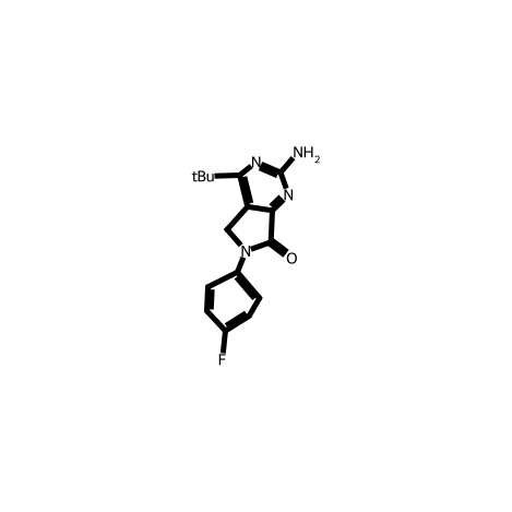 CC(C)(C)c1nc(N)nc2c1CN(c1ccc(F)cc1)C2=O